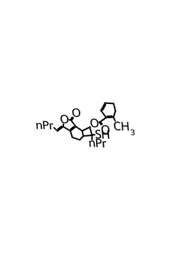 CCC/C=C1\OC(=O)C2=C1CCC1C2C(OC(=O)C2=C(C)CCC=C2)C1(S)CCC